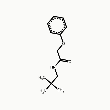 CC(C)(N)CNC(=O)COc1ccccc1